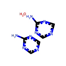 Nc1ncncn1.Nc1ncncn1.O